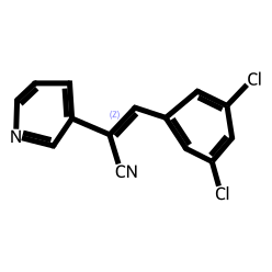 N#C/C(=C\c1cc(Cl)cc(Cl)c1)c1cccnc1